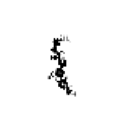 Cc1cc(-c2ccnc(NC(=O)[C@@H]3C[C@H]3c3cnn(C)c3)c2)ccc1O[C@H]1CCN(C(=O)CO)CC1(F)F